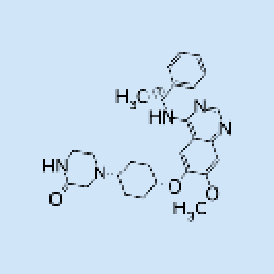 COc1cc2ncnc(N[C@H](C)c3ccccc3)c2cc1O[C@H]1CC[C@@H](N2CCNC(=O)C2)CC1